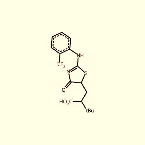 CC(C)(C)C(CC1SC(Nc2ccccc2C(F)(F)F)=NC1=O)C(=O)O